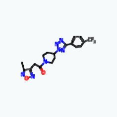 Cc1nonc1CC(=O)N1CCC(n2nnc(-c3ccc(C(F)(F)F)cc3)n2)CC1